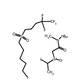 CCCCN(C)C(=O)C[S+]([O-])C(C)I.O=S(=O)(CCCCCI)CCCC(F)(F)C(F)(F)F